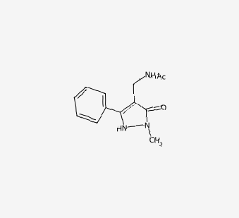 CC(=O)NCc1c(-c2ccccc2)[nH]n(C)c1=O